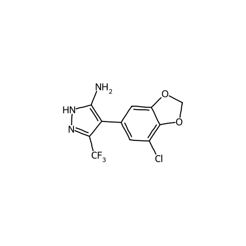 Nc1[nH]nc(C(F)(F)F)c1-c1cc(Cl)c2c(c1)OCO2